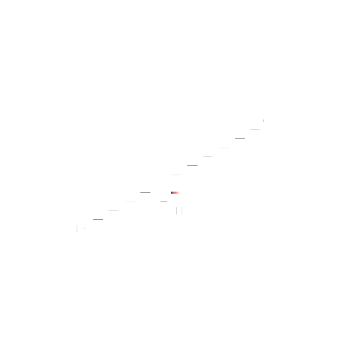 CCCCCCCCCCCC[C@@H](O)[C@@H](CCCCCCCCCC)C(=O)C(C)C